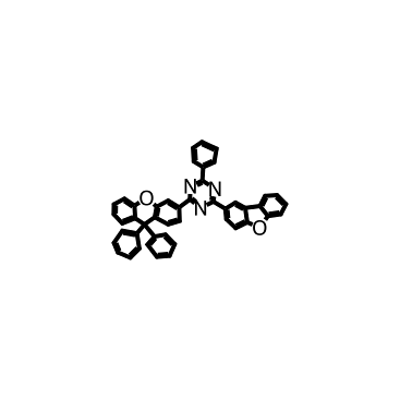 c1ccc(-c2nc(-c3ccc4c(c3)Oc3ccccc3C4(c3ccccc3)c3ccccc3)nc(-c3ccc4oc5ccccc5c4c3)n2)cc1